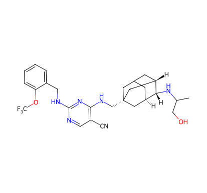 CC(CO)N[C@@H]1[C@@H]2CC3C[C@H]1C[C@](CNc1nc(NCc4ccccc4OC(F)(F)F)ncc1C#N)(C3)C2